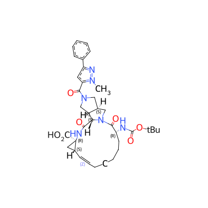 Cn1nc(-c2ccccc2)cc1C(=O)N1C[C@H]2CN3C(=O)[C@H](NC(=O)OC(C)(C)C)CCCCC/C=C\[C@@H]4C[C@@]4(C(=O)O)NC(=O)[C@@H]3[C@H]2C1